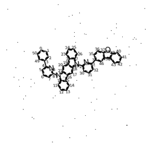 c1ccc(-c2cccc(-n3c4ccccc4c4cc5c(cc43)c3ccccc3n5-c3cccc(-c4ccc5oc6ccccc6c5c4)n3)n2)cc1